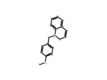 COc1ccc(CN2CC=Cc3ccccc32)cc1